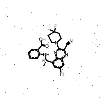 C[C@@H](Nc1ccccc1C(=O)O)c1cc(Cl)cc2nc(C#N)c(N3CCC(F)(F)CC3)nc12